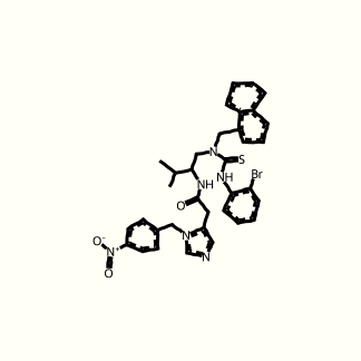 CC(C)C(CN(Cc1cccc2ccccc12)C(=S)Nc1ccccc1Br)NC(=O)Cc1cncn1Cc1ccc([N+](=O)[O-])cc1